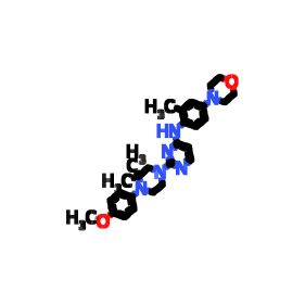 COc1ccc(N2CCN(c3nccc(Nc4ccc(N5CCOCC5)cc4C)n3)CC2(C)C)cc1